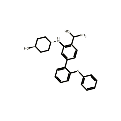 NC(O)c1ccc(-c2ccccc2Sc2ccccc2)cc1N[C@H]1CC[C@H](O)CC1